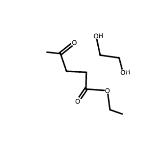 CCOC(=O)CCC(C)=O.OCCO